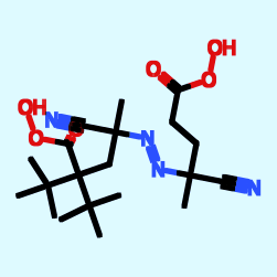 CC(C#N)(CCC(=O)OO)N=NC(C)(C#N)CC(C(=O)OO)(C(C)(C)C)C(C)(C)C